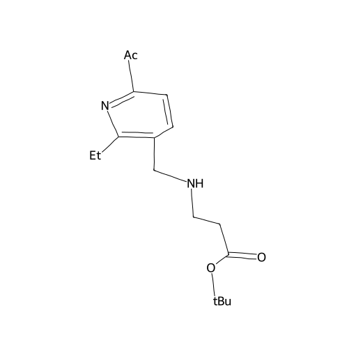 CCc1nc(C(C)=O)ccc1CNCCC(=O)OC(C)(C)C